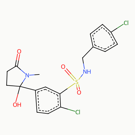 CN1C(=O)CCC1(O)c1ccc(Cl)c(S(=O)(=O)NCc2ccc(Cl)cc2)c1